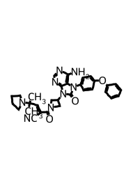 CC(C)(C=C(C#N)C(=O)N1CC(n2c(=O)n(-c3ccc(Oc4ccccc4)cc3)c3c(N)ncnc32)C1)N1CCCC1